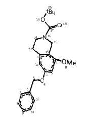 COc1cc(OCc2ccccc2)cc2c1CN(C(=O)OC(C)(C)C)CC2